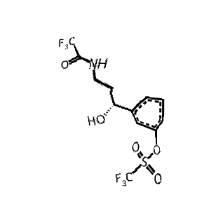 O=C(NCC[C@@H](O)c1cccc(OS(=O)(=O)C(F)(F)F)c1)C(F)(F)F